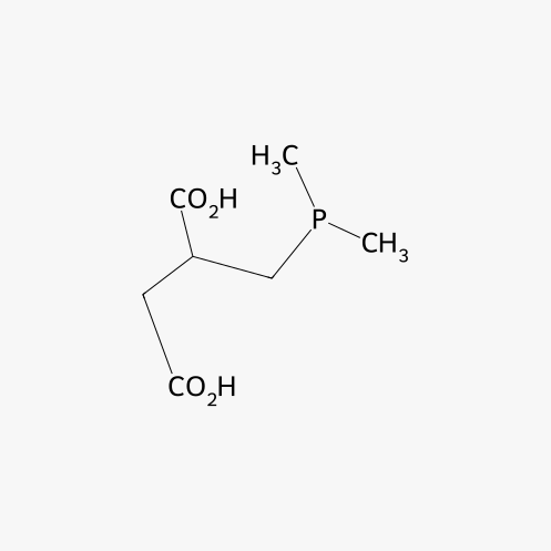 CP(C)CC(CC(=O)O)C(=O)O